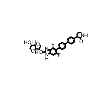 O=C1NCCC1c1ccc(-c2ccc(-c3c(F)cc4[nH]c(O[C@@H]5CO[C@H]6[C@@H]5OC[C@H]6O)nc4c3F)cc2)cc1